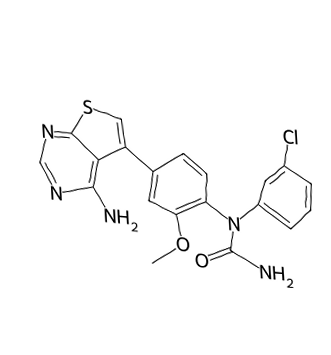 COc1cc(-c2csc3ncnc(N)c23)ccc1N(C(N)=O)c1cccc(Cl)c1